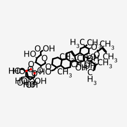 C/C=C(/C)C(=O)O[C@H]1[C@H](OC(=O)/C(C)=C\C)[C@@]2(CO)C(CC1(C)C)C1=CCC3[C@@]4(C)CC[C@H](O[C@@H]5OC(C(=O)O)[C@@H](O)[C@@H](O[C@@H]6O[C@@H](CO)C(O)[C@@H]6O)C5O[C@@H]5OC(CO)[C@H](CO)[C@@H](O)C5O)[C@](C)(CO)C4CC[C@@]3(C)[C@]1(C)[C@@H](O)[C@H]2O